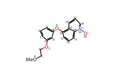 COCCOc1cccc(Oc2cccc3c2ccc[n+]3[O-])c1